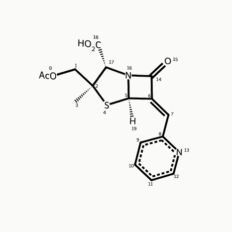 CC(=O)OC[C@]1(C)S[C@@H]2/C(=C\c3ccccn3)C(=O)N2[C@H]1C(=O)O